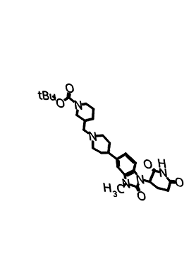 Cn1c(=O)n(C2CCC(=O)NC2=O)c2ccc(C3CCN(CC4CCCN(C(=O)OC(C)(C)C)C4)CC3)cc21